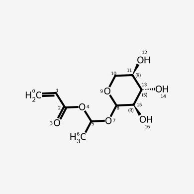 C=CC(=O)OC(C)OC1OC[C@@H](O)[C@H](O)[C@H]1O